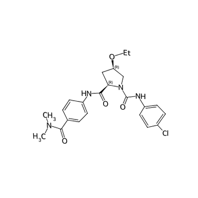 CCO[C@@H]1C[C@H](C(=O)Nc2ccc(C(=O)N(C)C)cc2)N(C(=O)Nc2ccc(Cl)cc2)C1